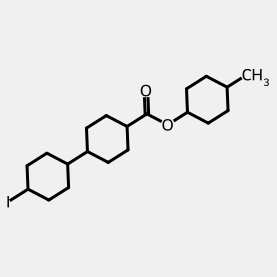 CC1CCC(OC(=O)C2CCC(C3CCC(I)CC3)CC2)CC1